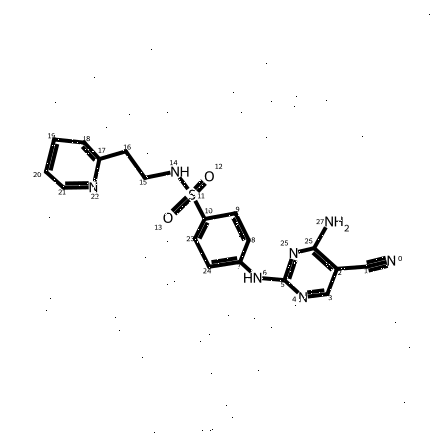 N#Cc1cnc(Nc2ccc(S(=O)(=O)NCCc3ccccn3)cc2)nc1N